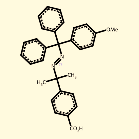 COc1ccc(C(/N=N/C(C)(C)c2ccc(C(=O)O)cc2)(c2ccccc2)c2ccccc2)cc1